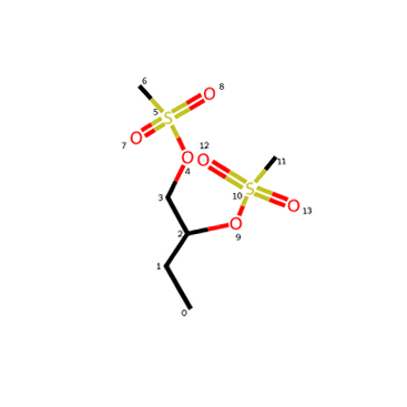 CCC(COS(C)(=O)=O)OS(C)(=O)=O